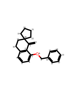 C=C1c2c(cccc2OCc2ccccc2)CCC12CCCC2